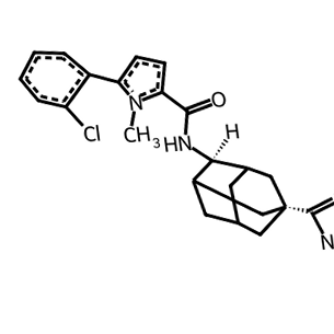 Cn1c(C(=O)N[C@H]2C3CC4CC2C[C@](C(N)=O)(C4)C3)ccc1-c1ccccc1Cl